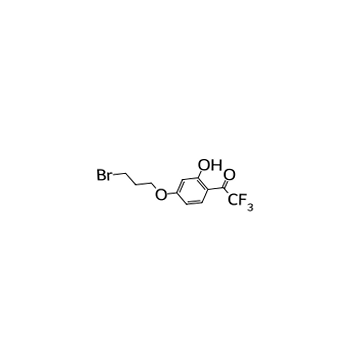 O=C(c1ccc(OCCCBr)cc1O)C(F)(F)F